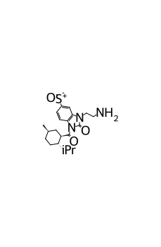 CC(C)[C@@H]1CC[C@@H](C)C[C@H]1C(=O)n1c(=O)n(CCN)c2cc([S+](C)[O-])ccc21